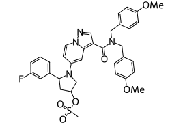 COc1ccc(CN(Cc2ccc(OC)cc2)C(=O)c2cnn3ccc(N4CC(OS(C)(=O)=O)CC4c4cccc(F)c4)cc23)cc1